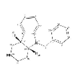 c1ccc(CN2c3ccccc3[C@H]3CNCC[C@H]32)cc1